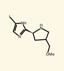 COCC1CN[C@H](c2ncc(I)[nH]2)C1